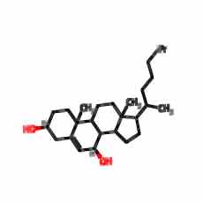 CC(C)CCCC(C)C1CCC2C3C(CCC12C)C1(C)CC[C@H](O)CC1=C[C@@H]3O